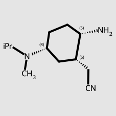 CC(C)N(C)[C@@H]1CC[C@H](N)[C@H](CC#N)C1